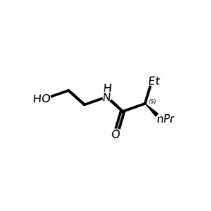 CCC[C@H](CC)C(=O)NCCO